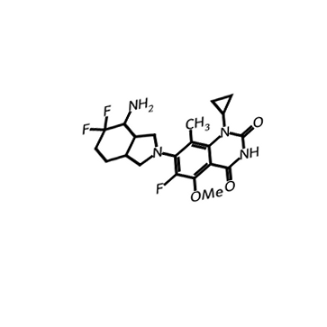 COc1c(F)c(N2CC3CCC(F)(F)C(N)C3C2)c(C)c2c1c(=O)[nH]c(=O)n2C1CC1